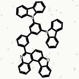 c1cc(-c2cc(-n3c4ccccc4c4ccccc43)cc(-n3c4ccccc4c4ccccc43)c2)cc(-c2nc3ccccc3c3c2ccc2oc4ccccc4c23)c1